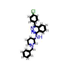 Clc1ccc(-c2nnc(NC3CCCN(Cc4ccccc4)C3)c3ccccc23)cc1